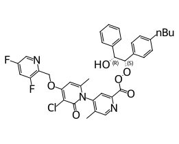 CCCCc1ccc([C@H](OOC(=O)c2cc(-n3c(C)cc(OCc4ncc(F)cc4F)c(Cl)c3=O)c(C)cn2)[C@H](O)c2ccccc2)cc1